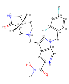 CN(O)C(=O)c1cc2c(CN3CC[C@H]4CNC(=O)[C@H]4C3)cn(Cc3ccc(F)cc3F)c2cn1